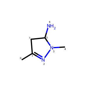 CC1=NN(C)C(N)C1